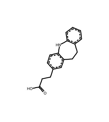 O=C(O)CCc1ccc2c(c1)CCc1ccccc1N2